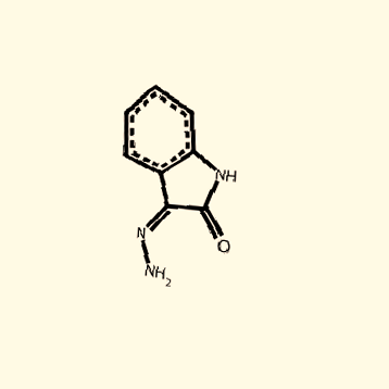 NN=C1C(=O)Nc2ccccc21